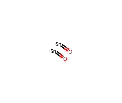 [O]=[Sn].[O]=[Sn]